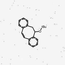 CC(C)(C)OC1Cc2ccccc2/C=C\c2ccccc21